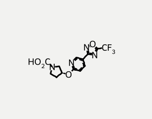 O=C(O)N1CC[C@H](Oc2ccc(-c3noc(C(F)(F)F)n3)cn2)C1